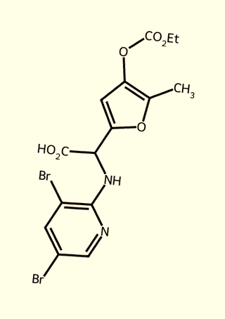 CCOC(=O)Oc1cc(C(Nc2ncc(Br)cc2Br)C(=O)O)oc1C